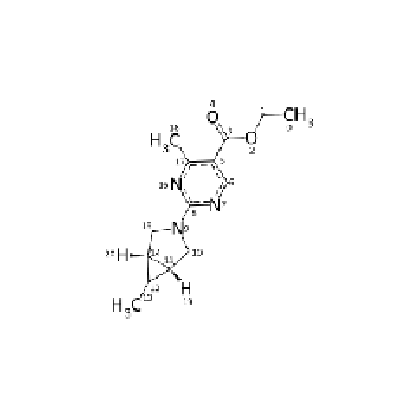 CCOC(=O)c1cnc(N2C[C@@H]3C(C)[C@@H]3C2)nc1C